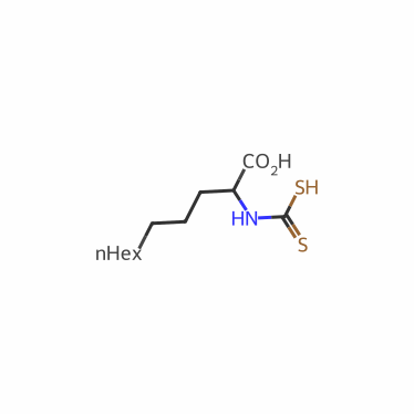 CCCCCCCCCC(NC(=S)S)C(=O)O